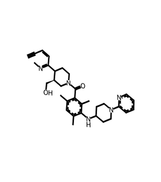 C#C/C=C\C(=N/C)C1CCN(C(=O)c2c(C)cc(C)c(NC3CCN(c4ccccn4)CC3)c2C)C[C@H]1CO